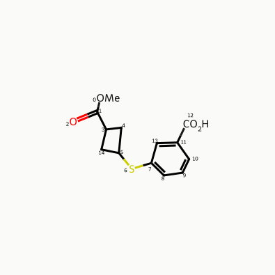 COC(=O)C1CC(Sc2cccc(C(=O)O)c2)C1